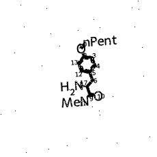 CCCCCOc1ccc(C[C@H](N)C(=O)NC)cc1